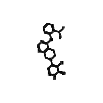 O=c1[nH]ncc(N2CCc3c(ncnc3Oc3ccccc3C(F)F)C2)c1Cl